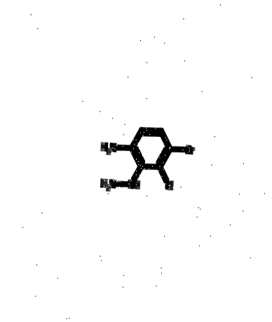 NNc1c(N)ccc(Br)c1Cl